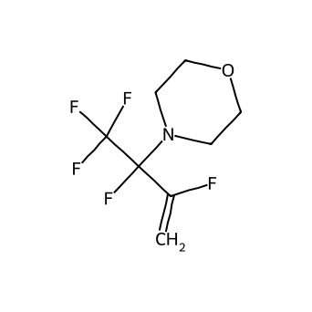 C=C(F)C(F)(N1CCOCC1)C(F)(F)F